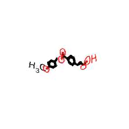 COc1ccc(COC(=O)c2ccc(/C=C/C(=O)O)cc2)cc1